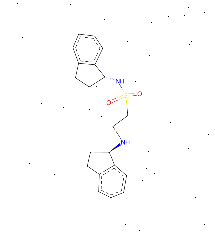 O=S(=O)(CCN[C@@H]1CCc2ccccc21)N[C@@H]1CCc2ccccc21